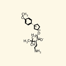 COc1ccc([C@@H]2CC[C@H](ON=[N+]([O-])N(CCN)C(C)(C)C)C2)cc1